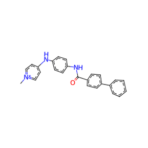 C[n+]1ccc(Nc2ccc(NC(=O)c3ccc(-c4ccccc4)cc3)cc2)cc1